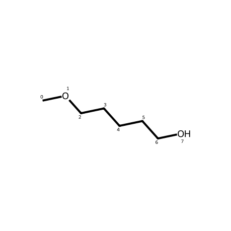 CO[CH]CCCCO